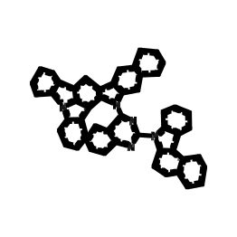 c1ccc2cc3c(cc2c1)c1cc2c4ccccc4n4c5ccccc5c(c1n3-c1nc(-n3c5ccccc5c5c6ccccc6ccc53)nc3ccccc13)c24